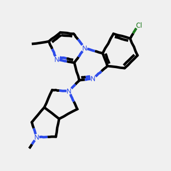 CC1=C=CN2C(=N1)C(N1CC3CN(C)CC3C1)=Nc1ccc(Cl)cc12